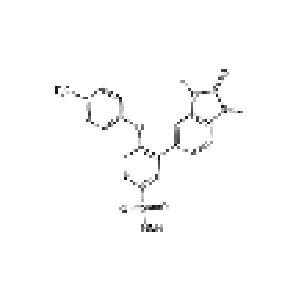 CNS(=O)(=O)c1ccc(Oc2ccc(C(F)(F)F)cc2)c(-c2ccc3c(c2)n(C)c(=O)n3C)c1